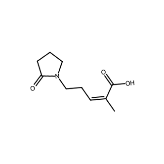 CC(=CCCN1CCCC1=O)C(=O)O